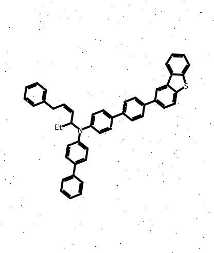 CCC(/C=C\Cc1ccccc1)N(c1ccc(-c2ccccc2)cc1)c1ccc(-c2ccc(-c3ccc4sc5ccccc5c4c3)cc2)cc1